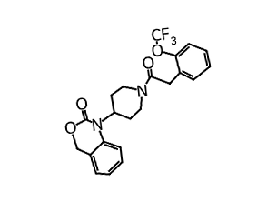 O=C(Cc1ccccc1OC(F)(F)F)N1CCC(N2C(=O)OCc3ccccc32)CC1